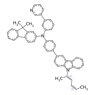 C/C=C\C=C(/C)n1c2ccccc2c2cc(-c3ccc(N(c4cccc(-c5cccnc5)c4)c4ccc5c(c4)C(C)(C)c4ccccc4-5)cc3)ccc21